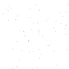 O=[PH](O)C(O)C(Cl)(Cl)Cl